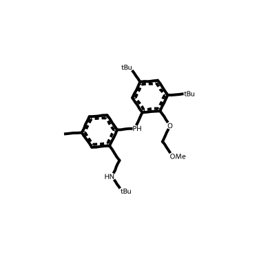 COCOc1c(Pc2ccc(C)cc2CNC(C)(C)C)cc(C(C)(C)C)cc1C(C)(C)C